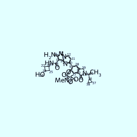 CNS(=O)(=O)S(=O)(=O)c1cc(-c2ccn3nc(N)c(C(=O)N[C@H]4C[C@H](O)C4)c3n2)cc2c1C(=O)N([C@@H](C)C1CC1)C2